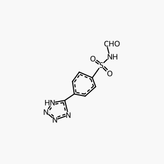 O=CNS(=O)(=O)c1ccc(-c2nnn[nH]2)cc1